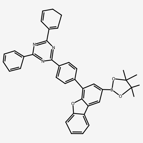 CC1(C)OB(c2cc(-c3ccc(-c4nc(C5=CCCC=C5)nc(-c5ccccc5)n4)cc3)c3oc4ccccc4c3c2)OC1(C)C